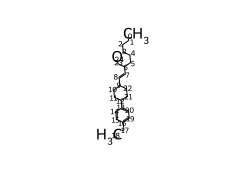 CCCC1CCC(/C=C/C2CCC(c3ccc(CC)cc3)CC2)CO1